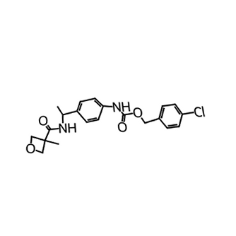 CC(NC(=O)C1(C)COC1)c1ccc(NC(=O)OCc2ccc(Cl)cc2)cc1